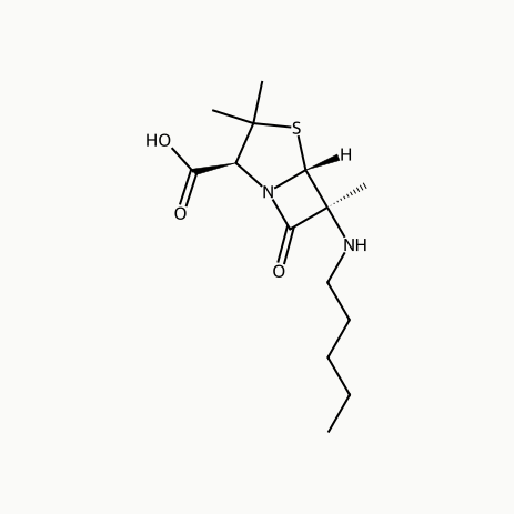 CCCCCN[C@@]1(C)C(=O)N2[C@@H](C(=O)O)C(C)(C)S[C@@H]21